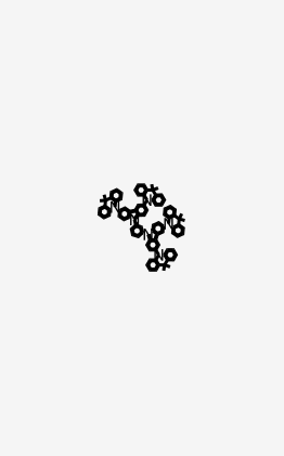 CC1(C)c2ccccc2N(c2ccc3c(c2)c2cc(N4c5ccccc5C(C)(C)c5ccccc54)ccc2n3-c2cccc(-n3c4ccc(N5c6ccccc6C(C)(C)c6ccccc65)cc4c4cc(N5c6ccccc6C(C)(C)c6ccccc65)ccc43)c2)c2ccccc21